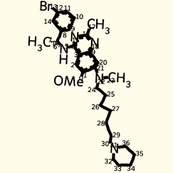 COc1cc2c(N[C@H](C)c3cccc(Br)c3)nc(C)nc2cc1N(C)CCCCCCCN1CCCCC1